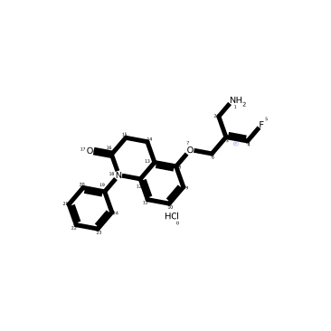 Cl.NC/C(=C\F)COc1cccc2c1CCC(=O)N2c1ccccc1